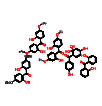 CCCOc1ccc(C(=O)c2ccc(OCCC)cc2O)c(O)c1.CCOc1ccc(C(=O)c2ccc(OCC)cc2O)c(O)c1.COc1ccc(C(=O)c2ccc(OC)cc2O)c(O)c1.O=C(c1ccc(O)cc1)C1C=CC(O)=CC1(O)O.O=C(c1ccccc1O)c1ccccc1O